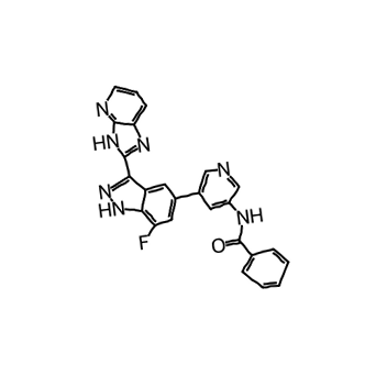 O=C(Nc1cncc(-c2cc(F)c3[nH]nc(-c4nc5cccnc5[nH]4)c3c2)c1)c1ccccc1